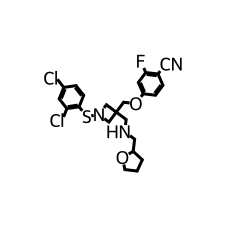 N#Cc1ccc(OCC2(CNCC3CCCO3)CN(Sc3ccc(Cl)cc3Cl)C2)cc1F